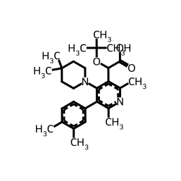 Cc1ccc(-c2c(C)nc(C)c(C(OC(C)(C)C)C(=O)O)c2N2CCC(C)(C)CC2)cc1C